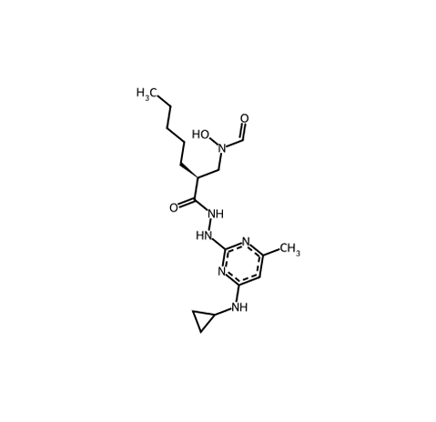 CCCCC[C@@H](CN(O)C=O)C(=O)NNc1nc(C)cc(NC2CC2)n1